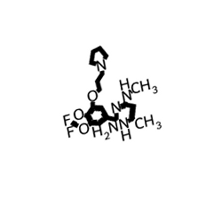 CNC1=NC(N)(c2cc(OCCCN3CCCC3)c3c(c2)OC(F)(F)O3)NC(C)=C1